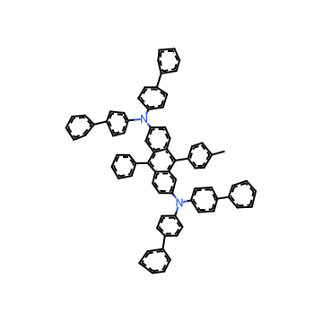 Cc1ccc(-c2c3ccc(N(c4ccc(-c5ccccc5)cc4)c4ccc(-c5ccccc5)cc4)cc3c(-c3ccccc3)c3ccc(N(c4ccc(-c5ccccc5)cc4)c4ccc(-c5ccccc5)cc4)cc23)cc1